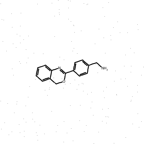 NCc1ccc(C2=Nc3ccccc3CO2)cc1